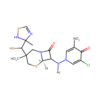 CC(=O)N(C1C(=O)N2CC(C(=O)O)(C(S)C3(C)N=CSN3)CS[C@H]12)n1cc(Cl)c(=O)c([N+](=O)[O-])c1